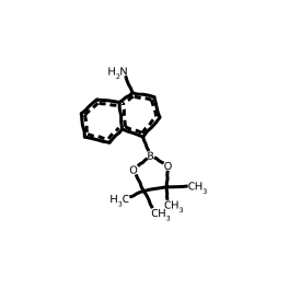 CC1(C)OB(c2ccc(N)c3ccccc23)OC1(C)C